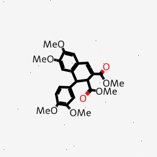 COC(=O)C1=Cc2cc(OC)c(OC)cc2C(c2ccc(OC)c(OC)c2)C1C(=O)OC